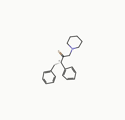 S=C(CN1CCCCC1)[C@@H](Cc1ccccc1)c1ccccc1